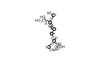 Cc1c(COc2cc(OCc3cncc(C#N)c3)c(CNC(CO)C(=O)OC(C)C)cc2Cl)cccc1-c1cccc2c1cnn2Cc1cc(OCc2cncc(C#N)c2)c(CN[C@@H](CO)C(=O)O)cc1Cl